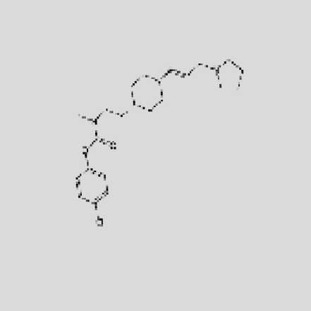 CN(CC[C@H]1CC[C@H](C=CCN2CCCC2)CC1)C(=O)Oc1ccc(Cl)cc1